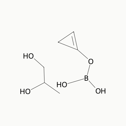 CC(O)CO.OB(O)OC1=CC1